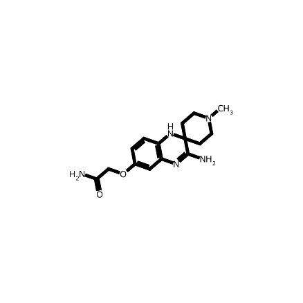 CN1CCC2(CC1)Nc1ccc(OCC(N)=O)cc1N=C2N